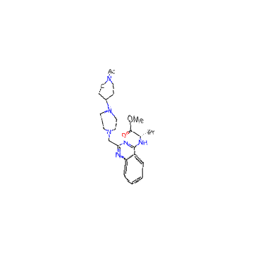 COC(=O)[C@@H](Nc1nc(CN2CCN(C3CCN(C(C)=O)CC3)CC2)nc2ccccc12)C(C)C